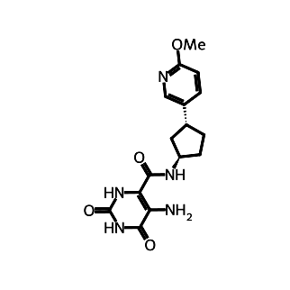 COc1ccc([C@@H]2CC[C@@H](NC(=O)c3[nH]c(=O)[nH]c(=O)c3N)C2)cn1